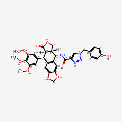 COc1cc([C@@H]2c3cc4c(cc3[C@@H](NC(=O)c3cn(Cc5ccc(O)cc5)nn3)[C@H]3COC(=O)[C@H]23)OCO4)cc(OC)c1OC